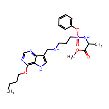 CCCCOc1ncnc2c(CNCCCP(=O)(NC(C)C(=O)OC)Oc3ccccc3)c[nH]c12